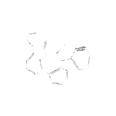 Brc1ccc(-c2ccccc2)cc1.O=C(Cc1ccccc1)Cc1ccccc1